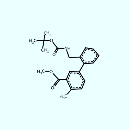 COC(=O)c1cc(-c2ccccc2CNC(=O)OC(C)(C)C)ccc1C